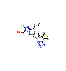 CCCCc1nc(Cl)c(CO)n1Cc1ccc(-c2cscc2-c2nnn[nH]2)cc1